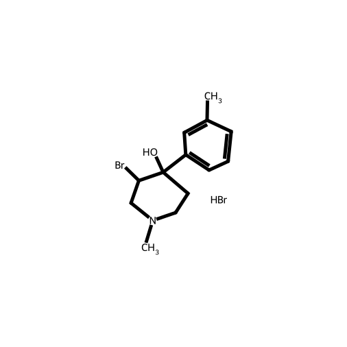 Br.Cc1cccc(C2(O)CCN(C)CC2Br)c1